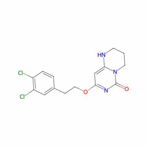 O=c1nc(OCCc2ccc(Cl)c(Cl)c2)cc2n1CCCN2